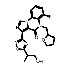 CC(CO)c1nc(-c2ncn3c2c(=O)n(CC2CCCO2)c2c(F)cccc23)no1